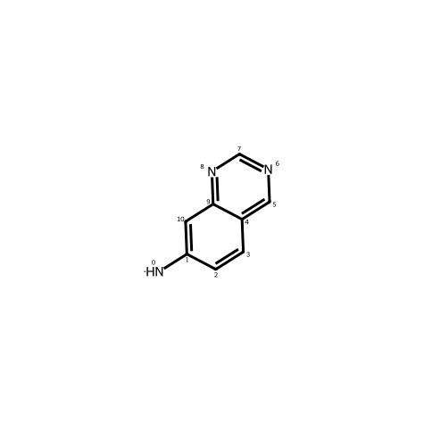 [NH]c1ccc2cncnc2c1